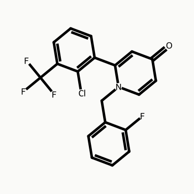 O=c1ccn(Cc2ccccc2F)c(-c2cccc(C(F)(F)F)c2Cl)c1